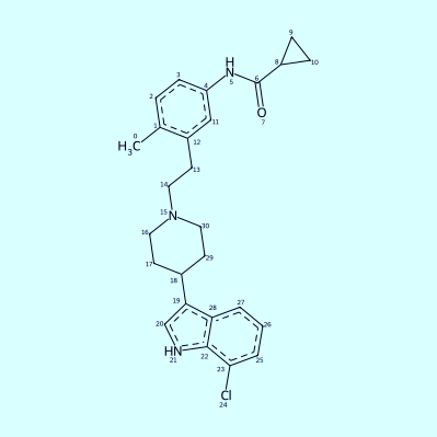 Cc1ccc(NC(=O)C2CC2)cc1CCN1CCC(c2c[nH]c3c(Cl)cccc23)CC1